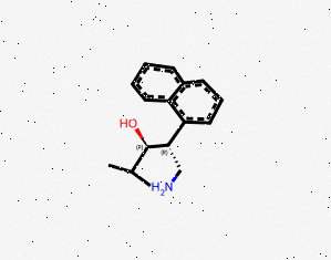 CC(C)[C@@H](O)[C@@H](CN)c1cccc2ccccc12